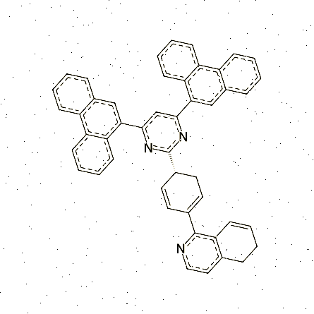 C1=Cc2c(ccnc2C2=CC[C@@H](c3nc(-c4cc5ccccc5c5ccccc45)cc(-c4cc5ccccc5c5ccccc45)n3)C=C2)CC1